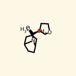 CC1(C)CC2CCC(C1)N2C(=O)C1CCOC1